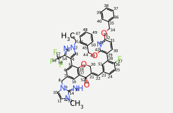 CCn1cc(-c2cc(Cn3ccn(C)c3=N)cc3c2OC/C(=C\c2ccc(F)c(-c4ccc(OCc5ccccc5)nc4OCc4ccccc4)c2)C3=O)c(C(F)(F)F)n1